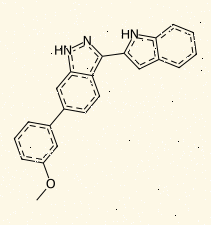 COc1cccc(-c2ccc3c(-c4cc5ccccc5[nH]4)n[nH]c3c2)c1